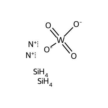 [N+].[N+].[O]=[W](=[O])([O-])[O-].[SiH4].[SiH4]